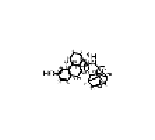 CC(NC(=O)[C@]1(C)CCC[C@]2(C)c3cc(O)ccc3CC[C@@H]12)C12CC3CC(CC(C3)C1)C2